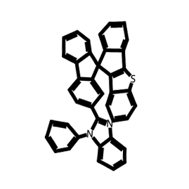 c1ccc(-n2c(-c3ccc4c(c3)C3(c5ccccc5-4)c4ccccc4-c4sc5ccccc5c43)nc3ccccc32)cc1